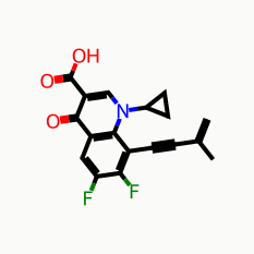 C=C(C)C#Cc1c(F)c(F)cc2c(=O)c(C(=O)O)cn(C3CC3)c12